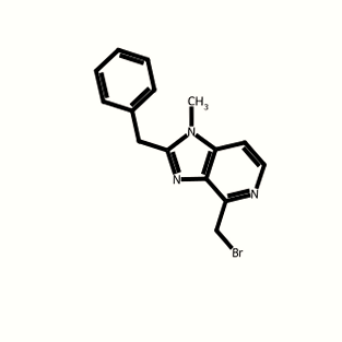 Cn1c(Cc2ccccc2)nc2c(CBr)nccc21